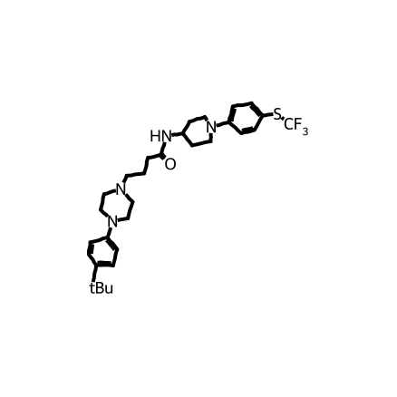 CC(C)(C)c1ccc(N2CCN(CCCC(=O)NC3CCN(c4ccc(SC(F)(F)F)cc4)CC3)CC2)cc1